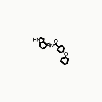 O=C(NCc1cccc2[nH]ccc12)c1ccc(Oc2ccccc2)cc1